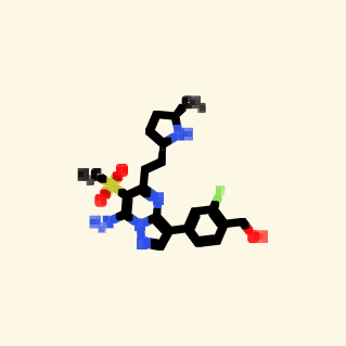 C[C@@H]1CC[C@H](CCc2nc3c(-c4ccc(CO)c(F)c4)cnn3c(N)c2S(C)(=O)=O)N1